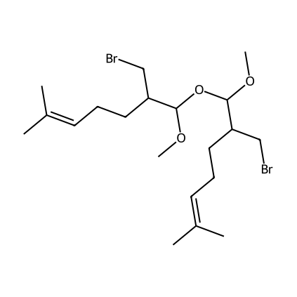 COC(OC(OC)C(CBr)CCC=C(C)C)C(CBr)CCC=C(C)C